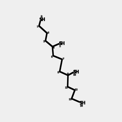 SCCCC(S)CCCC(S)CCCS